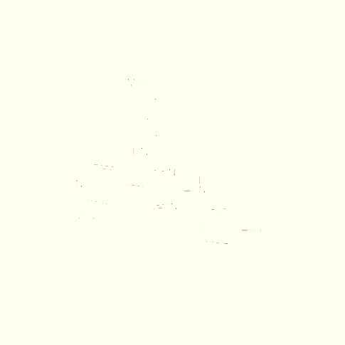 COCCCNc1nc(Nc2ccc(F)c(Cl)c2)ncc1-c1ccnc(C(=O)O)c1